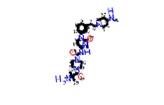 CNC1CCN(CCc2cccc(-n3ccc(NC(=O)N4CCN(C(=O)C(C)(C)N)CC4)nc3=O)c2)CC1